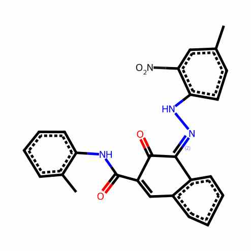 Cc1ccc(N/N=C2\C(=O)C(C(=O)Nc3ccccc3C)=Cc3ccccc32)c([N+](=O)[O-])c1